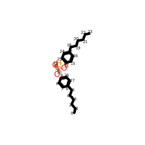 CCCCCCc1ccc(O[PH](=O)Oc2ccc(CCCCCC)cc2)cc1